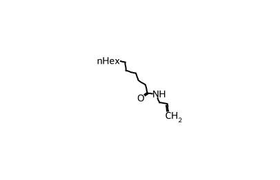 C=CCNC(=O)CCCCCCCCCCC